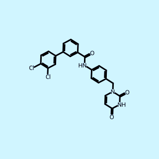 O=C(Nc1ccc(Cn2ccc(=O)[nH]c2=O)cc1)c1cccc(-c2ccc(Cl)c(Cl)c2)c1